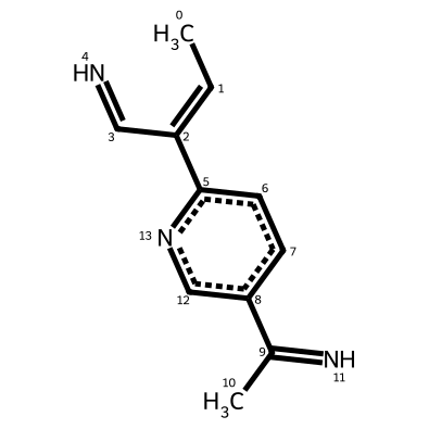 C/C=C(\C=N)c1ccc(C(C)=N)cn1